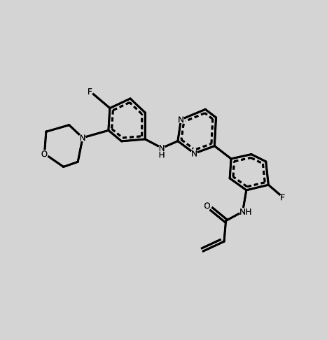 C=CC(=O)Nc1cc(-c2ccnc(Nc3ccc(F)c(N4CCOCC4)c3)n2)ccc1F